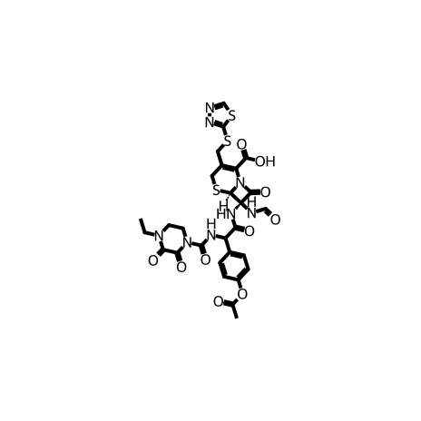 CCN1CCN(C(=O)NC(C(=O)N[C@]2(NC=O)C(=O)N3C(C(=O)O)=C(CSc4nncs4)CS[C@@H]32)c2ccc(OC(C)=O)cc2)C(=O)C1=O